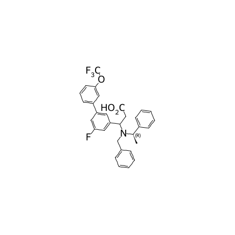 C[C@H](c1ccccc1)N(Cc1ccccc1)C(CC(=O)O)c1cc(F)cc(-c2cccc(OC(F)(F)F)c2)c1